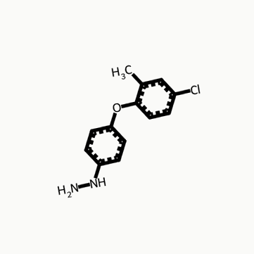 Cc1cc(Cl)ccc1Oc1ccc(NN)cc1